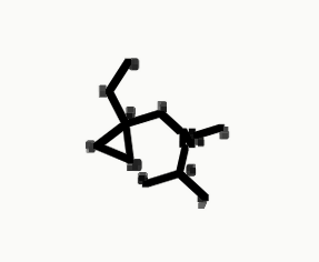 CCC1(CN(C)C(C)C)CC1